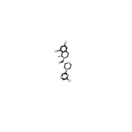 C[C@H]1c2c(Cl)cc(Cl)cc2CCN1C(=O)[C@H]1CN(c2cncc(Cl)n2)CCO1